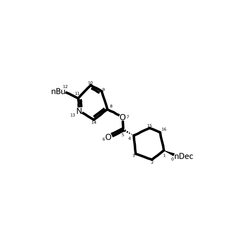 CCCCCCCCCC[C@H]1CC[C@H](C(=O)Oc2ccc(CCCC)nc2)CC1